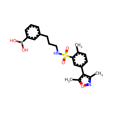 Cc1ccc(-c2c(C)noc2C)cc1S(=O)(=O)NCCCc1cccc(B(O)O)c1